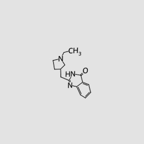 CCN1CCC(Cc2nc3ccccc3c(=O)[nH]2)C1